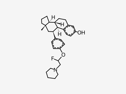 C[C@@]12CCC[C@H]1[C@@H]1CCc3cc(O)ccc3[C@H]1[C@@H](c1ccc(OC(F)CN3CCCCC3)cc1)C2